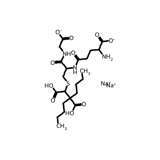 CCCCC(CCCC)(C(=O)O)C(SCC(NC(=O)CCC(N)C(=O)[O-])C(=O)NCC(=O)[O-])C(=O)O.[Na+].[Na+]